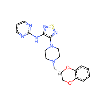 c1cnc(Nc2nsnc2N2CCN(C[C@H]3COc4ccccc4O3)CC2)nc1